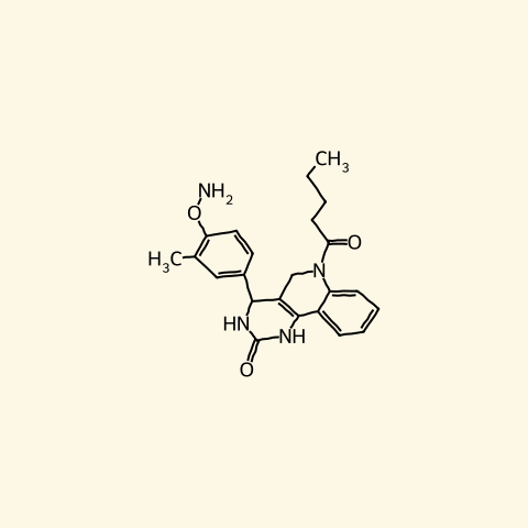 CCCCC(=O)N1CC2=C(NC(=O)NC2c2ccc(ON)c(C)c2)c2ccccc21